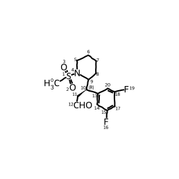 CS(=O)(=O)N1CCCCC1[C@H](CC=O)c1cc(F)cc(F)c1